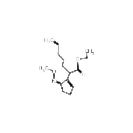 C=CCCCC(C(=O)OCC)C1=CCC/C1=N/OC